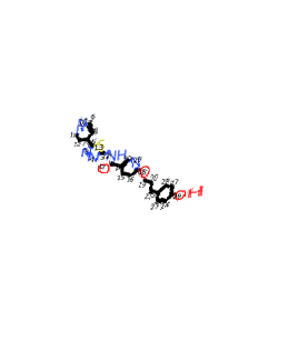 O=C(Nc1nnc(-c2ccncc2)s1)c1ccc(OCCCc2ccc(O)cc2)nc1